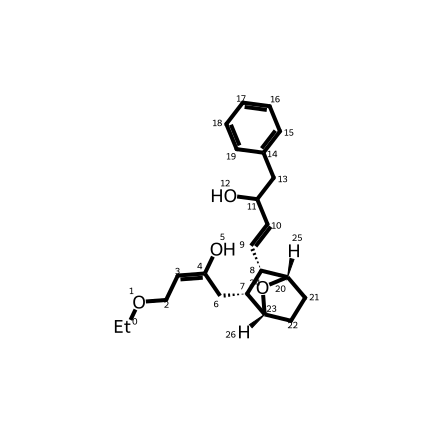 CCOC/C=C(/O)C[C@@H]1[C@H](/C=C/C(O)Cc2ccccc2)[C@@H]2CC[C@H]1O2